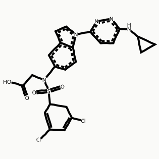 O=C(O)CN(c1ccc2c(ccn2-c2ccc(NC3CC3)nn2)c1)S(=O)(=O)C1C=C(Cl)C=C(Cl)C1